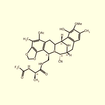 COc1c(C)cc2c(c1O)[C@@H]1N[C@H](C2)[C@H](C#N)N2C1Cc1c(OC(C)=O)c(C)c3c(c1[C@@H]2CNC(=O)[C@@H](C)NC(=O)C(F)(F)F)OCO3